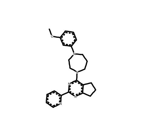 COc1cccc(N2CCCN(c3nc(-c4ccccn4)nc4c3CCC4)CC2)c1